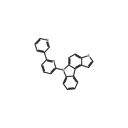 c1cncc(-c2cccc(-n3c4ccccc4c4c5ccsc5ccc43)n2)c1